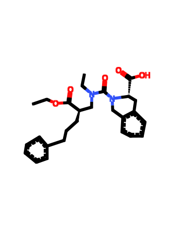 CCOC(=O)[C@H](CCCc1ccccc1)CN(CC)C(=O)N1Cc2ccccc2C[C@H]1C(=O)O